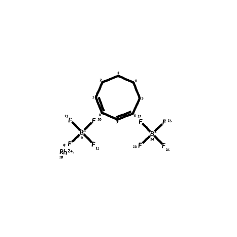 C1=C\CCCC\C=C/1.F[B-](F)(F)F.F[B-](F)(F)F.[Rh+2]